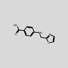 CCCC(=O)c1ccc(NCc2ncco2)cc1